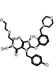 CNC1=C(C(=O)N(C=O)CCOCCO)N(Cc2ccc(Cl)cc2)C(Oc2cccc(CN3CCOCC3)c2)N1C